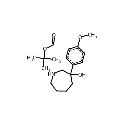 CC(C)(C)OC=O.COc1ccc(C2(O)CCCCNC2)cc1